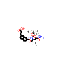 C[C@@H](OCc1ccc2ccc(CCC(=O)O)cc2c1)[C@H](CCC(N)=O)NC(=O)OC(C)(C)C